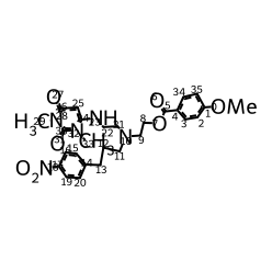 COc1ccc(C(=O)OCCN(CCCc2ccc([N+](=O)[O-])cc2)CCNc2cc(=O)n(C)c(=O)n2C)cc1